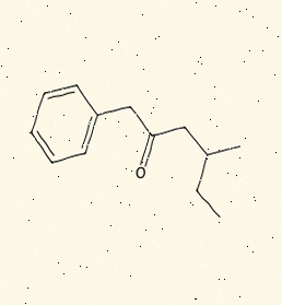 CCC(C)CC(=O)Cc1ccccc1